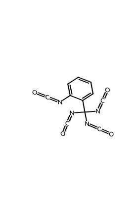 O=C=Nc1ccccc1C(N=C=O)(N=C=O)N=C=O